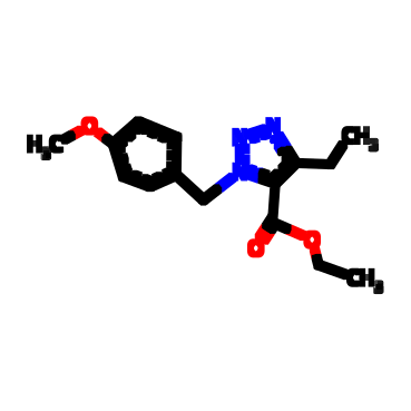 CCOC(=O)c1c(CC)nnn1Cc1ccc(OC)cc1